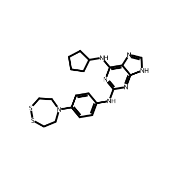 c1nc2c(NC3CCCC3)nc(Nc3ccc(N4CCSSCC4)cc3)nc2[nH]1